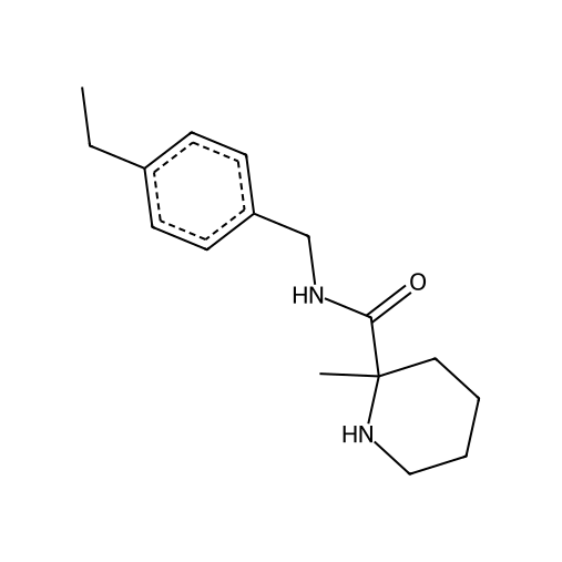 CCc1ccc(CNC(=O)C2(C)CCCCN2)cc1